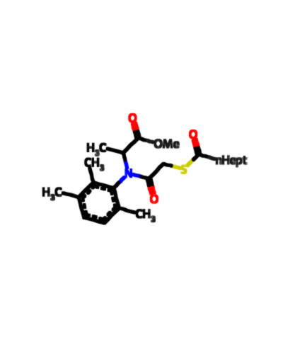 CCCCCCCC(=O)SCC(=O)N(c1c(C)ccc(C)c1C)C(C)C(=O)OC